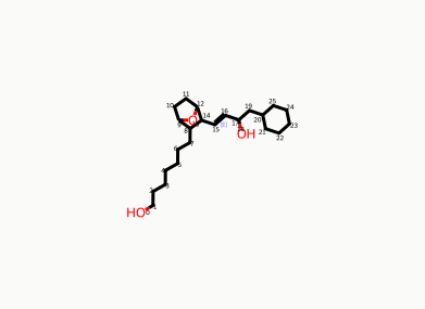 OCCCCCCCC1C2CCC(O2)C1/C=C/C(O)CC1CCCCC1